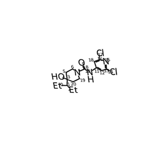 CCC(CC)C1(O)CCN(C(=O)Nc2cc(Cl)nc(Cl)c2)CC1